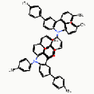 [C-]#[N+]c1ccc(N(C2=C3C=CC4=C5C(=CC=C(C=C2)C35)C(N(c2ccc(C#N)cc2)c2ccc(-c3ccc(C(C)(C)C)cc3)cc2-c2ccc(C(C)(C)C)cc2)C=C4)c2ccc(-c3ccc(C(C)(C)C)cc3)cc2-c2ccc(C(C)(C)C)cc2)cc1